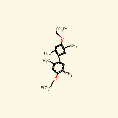 CCOC(=O)COc1cc(C)c(-c2cc(C)c(OCC(=O)OCC)cc2C)cc1C